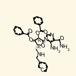 NC(=O)c1ncn([C@@H]2O[C@H](CNCc3ccccc3)[C@@H](OC(=O)c3ccccc3)[C@H]2OC(=O)c2ccccc2)c1N